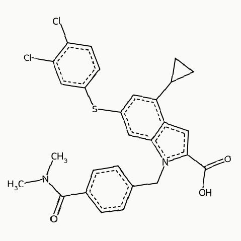 CN(C)C(=O)c1ccc(Cn2c(C(=O)O)cc3c(C4CC4)cc(Sc4ccc(Cl)c(Cl)c4)cc32)cc1